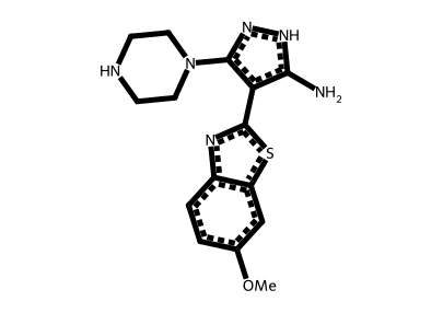 COc1ccc2nc(-c3c(N4CCNCC4)n[nH]c3N)sc2c1